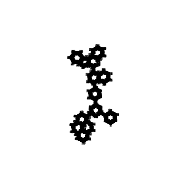 c1ccc(-c2cc(-c3ccc(-c4ccc(-c5nc6ccccc6c6c5sc5ccccc56)c5ccccc45)cc3)nc(-c3ccc4ccc5cccc6ccc3c4c56)n2)cc1